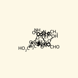 CCn1nc(C)cc1C(=O)Nc1nc2cc(C=O)cc(OCCCO)c2n1C/C=C/Cn1c2nc(-c3cc(C)nn3CC)ncc2c2cc(C(N)=O)cc(OCCCNC(=O)OCCC(=O)O)c21